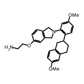 COc1ccc2c(c1)CCC(c1ccc(OC)cc1N1Cc3ccc(OCCN)cc3C1)C2